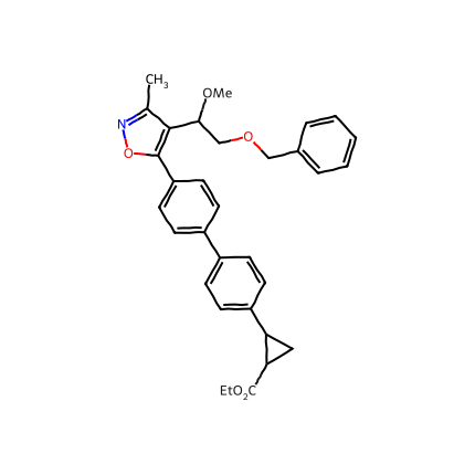 CCOC(=O)C1CC1c1ccc(-c2ccc(-c3onc(C)c3C(COCc3ccccc3)OC)cc2)cc1